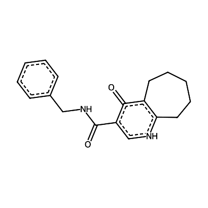 O=C(NCc1ccccc1)c1c[nH]c2c(c1=O)CCCCC2